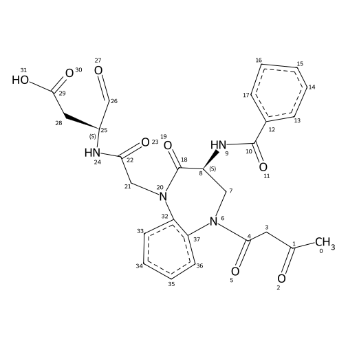 CC(=O)CC(=O)N1C[C@H](NC(=O)c2ccccc2)C(=O)N(CC(=O)N[C@H](C=O)CC(=O)O)c2ccccc21